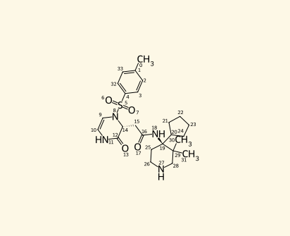 Cc1ccc(S(=O)(=O)N2C=CNC(=O)[C@H]2CC(=O)N[C@]2(C3CCCC3)CCNCC2(C)C)cc1